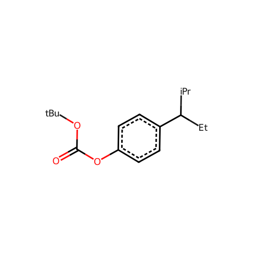 CCC(c1ccc(OC(=O)OC(C)(C)C)cc1)C(C)C